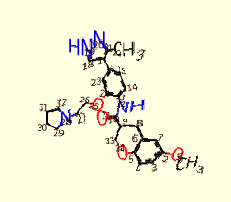 COc1ccc2c(c1)CC(C(=O)Nc1ccc(-c3c[nH]nc3C)cc1OCCN1CCCC1)CO2